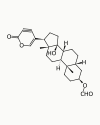 C[C@]12CC[C@H](OC=O)C[C@H]1CC[C@@H]1[C@@H]2CC[C@]2(C)[C@@H](c3c#cc(=O)oc3)CC[C@]12O